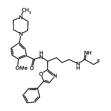 COc1ccc(N2CCN(C)CC2)cc1C(=O)NC(CCCNC(=N)CF)c1ncc(-c2ccccc2)o1